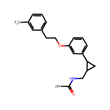 CCCC(=O)NCC1CC1c1cccc(OCCc2cccc(C(F)(F)F)c2)c1